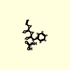 C=COC(=O)OC(=O)[C@@H](NC(=O)O)c1ccccc1